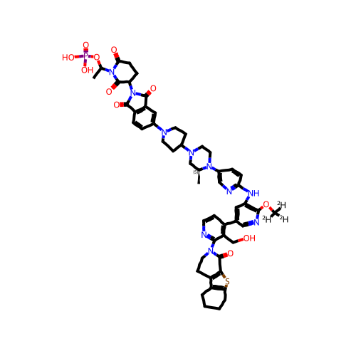 [2H]C([2H])([2H])Oc1ncc(-c2ccnc(N3CCc4c(sc5c4CCCC5)C3=O)c2CO)cc1Nc1ccc(N2CCN(C3CCN(c4ccc5c(c4)C(=O)N(C4CCC(=O)N(C(C)OP(=O)(O)O)C4=O)C5=O)CC3)C[C@@H]2C)cn1